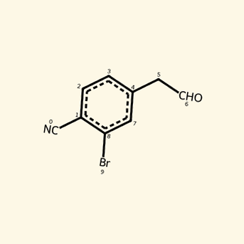 N#Cc1ccc(CC=O)cc1Br